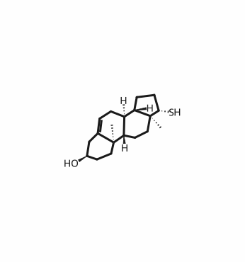 C[C@]12CC[C@H]3[C@@H](CC=C4C[C@H](O)CC[C@@]43C)[C@@H]1CC[C@@H]2S